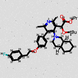 Cc1nc(C)c(C(OC(C)(C)C)C(=O)OC(C)C)c(N2CC[C@H]3CCCC[C@@H]3C2)c1-c1ccc(OCCc2ccc(F)cc2)cc1